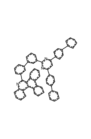 c1ccc(-c2ccc(-c3cc(-c4ccc(-c5ccccc5)cc4)nc(-c4cccc(-c5cccc(-c6nc7ccccc7c7c8ccccc8c8ccccc8c67)c5)c4)n3)cc2)cc1